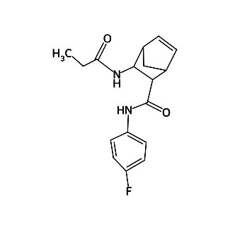 CCC(=O)NC1C2C=CC(C2)C1C(=O)Nc1ccc(F)cc1